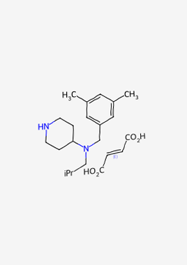 Cc1cc(C)cc(CN(CC(C)C)C2CCNCC2)c1.O=C(O)/C=C/C(=O)O